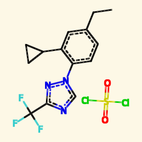 CCc1ccc(-n2cnc(C(F)(F)F)n2)c(C2CC2)c1.O=S(=O)(Cl)Cl